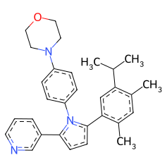 Cc1cc(C)c(C(C)C)cc1-c1ccc(-c2cccnc2)n1-c1ccc(N2CCOCC2)cc1